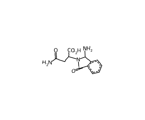 NC(=O)CC(C(=O)O)N1C(=O)c2ccccc2C1N